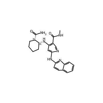 CNC(=O)c1cnc(Nc2ccc3ccccc3n2)cc1N[C@@H]1CCCC[C@@H]1C(N)=O